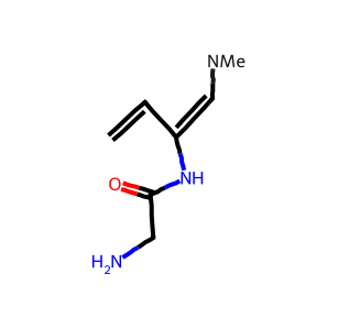 C=C/C(=C\NC)NC(=O)CN